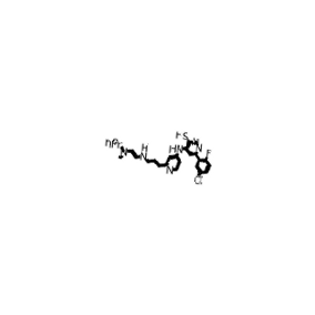 CCCN(C)CCNCCCc1cc(Nc2cc(-c3cc(Cl)ccc3F)nnc2S)ccn1